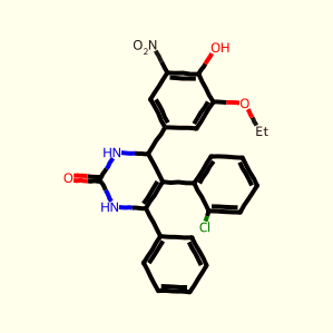 CCOc1cc(C2NC(=O)NC(c3ccccc3)=C2c2ccccc2Cl)cc([N+](=O)[O-])c1O